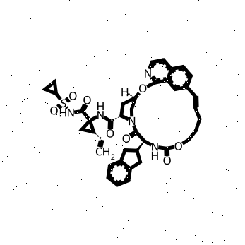 C=C[C@@H]1CC1(NC(=O)[C@@H]1C[C@@H]2CN1C(=O)[C@H](C1Cc3ccccc3C1)NC(=O)OCCC/C=C/c1ccc3ccnc(c3c1)O2)C(=O)NS(=O)(=O)C1CC1